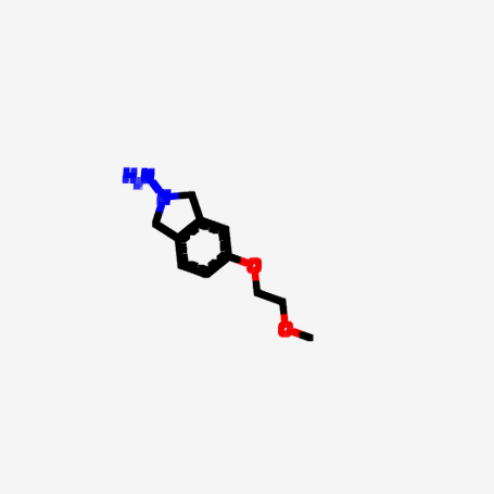 COCCOc1ccc2c(c1)CN(N)C2